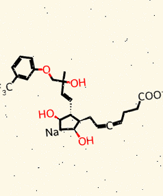 CC(O)(C=C[C@@H]1[C@@H](CC=C=CCCC(=O)[O-])[C@@H](O)C[C@H]1O)COc1cccc(C(F)(F)F)c1.[Na+]